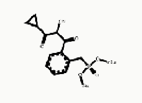 CCCCOP(=O)(Cc1ccccc1C(=O)C(C#N)C(=O)C1CC1)OCCCC